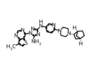 Cc1csc2c(-n3nc(Nc4ccc(N5CCN([C@H]6C[C@@H]7CC[C@H]6C7)CC5)nc4)nc3N)ncnc12